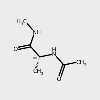 CNC(=O)[C@@H](C)NC(C)=O